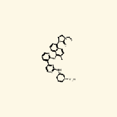 Cc1ccc2c(N3CC[C@@H](CF)C3=O)cccc2c1Oc1ncccc1-c1ccnc(N[C@H]2CCCN(C(=O)O)C2)n1